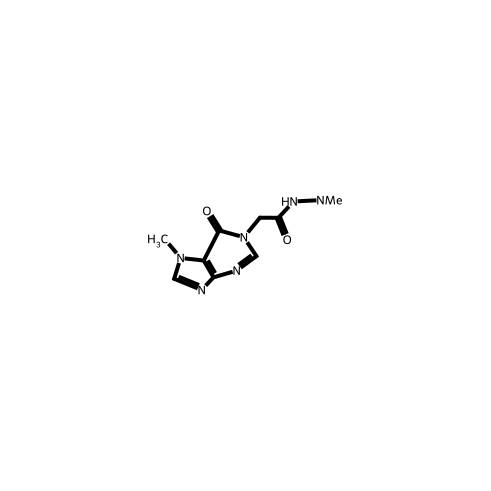 CNNC(=O)Cn1cnc2ncn(C)c2c1=O